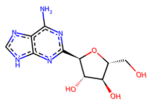 Nc1nc([C@H]2O[C@H](CO)[C@@H](O)[C@@H]2O)nc2[nH]cnc12